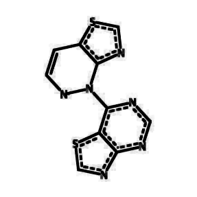 C1=Cc2scnc2N(c2ncnc3ncsc23)[N]1